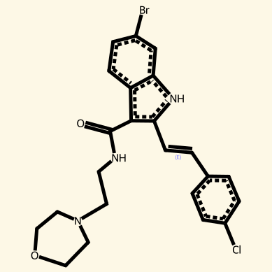 O=C(NCCN1CCOCC1)c1c(/C=C/c2ccc(Cl)cc2)[nH]c2cc(Br)ccc12